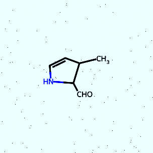 CC1C=CNC1C=O